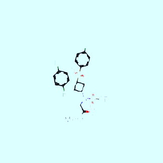 COC(=O)CN([C@H]1C[C@@](c2cc(F)ccc2F)(S(=O)(=O)c2ccc(Cl)cc2)C1)S(=O)(=O)C(F)(F)F